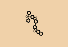 O=P(c1ccccc1)(c1ccccc1)c1ccc2sc3ccc(-c4ccc5oc6cc7ccccc7cc6c5c4)cc3c2c1